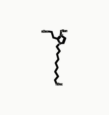 CCCCCCCCCCCCCCCCCCCn1cc[n+](CCCCCCCCC)c1CCCCCCCCCCCC